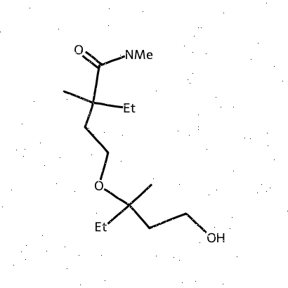 CCC(C)(CCO)OCCC(C)(CC)C(=O)NC